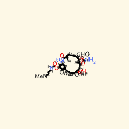 CNCCCN(C)C(=O)Oc1cc2cc(c1OC)C[C@@H](C)C[C@H](OC)[C@H](O)[C@@H](C)/C=C(\C)[C@H](OC(N)=O)[C@@H](C=O)CC/C=C(\C)C(=O)N2